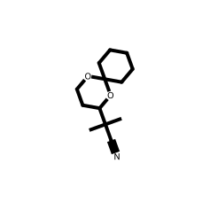 CC(C)(C#N)C1CCOC2(CCCCC2)O1